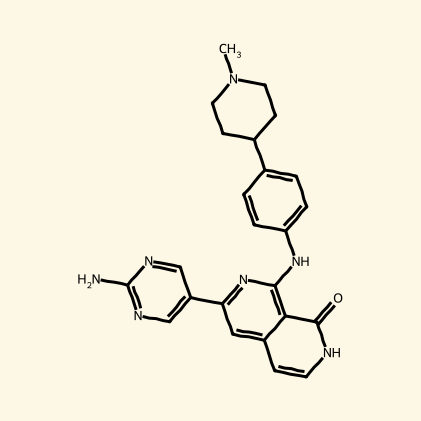 CN1CCC(c2ccc(Nc3nc(-c4cnc(N)nc4)cc4cc[nH]c(=O)c34)cc2)CC1